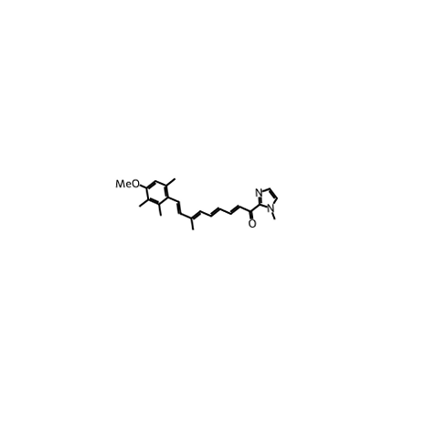 COc1cc(C)c(C=CC(C)=CC=CC=CC(=O)c2nccn2C)c(C)c1C